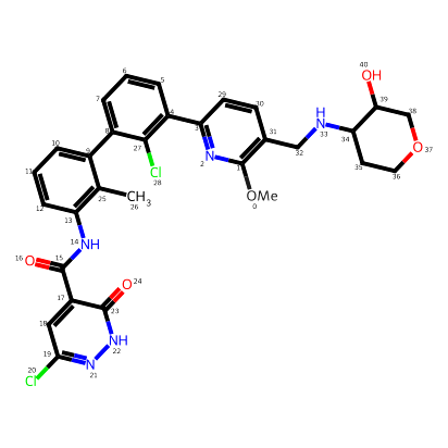 COc1nc(-c2cccc(-c3cccc(NC(=O)c4cc(Cl)n[nH]c4=O)c3C)c2Cl)ccc1CNC1CCOCC1O